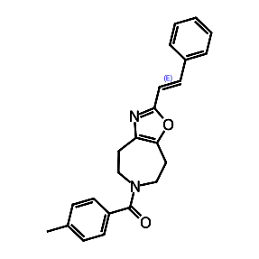 Cc1ccc(C(=O)N2CCc3nc(/C=C/c4ccccc4)oc3CC2)cc1